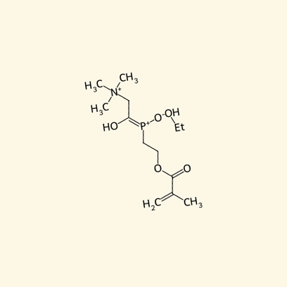 C=C(C)C(=O)OCC/[P+]([O-])=C(\O)C[N+](C)(C)C.CCO